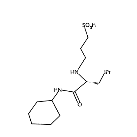 CC(C)C[C@@H](NCCCS(=O)(=O)O)C(=O)NC1CCCCC1